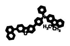 CC1(C)c2ccccc2-c2ccc(N(c3ccccc3)c3ccc(-c4ccc5oc6c(c5c4)C=CC(c4cccc5c4CCC=C5)C6)cc3)cc21